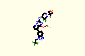 [2H]C1(N2CC[C@@H](Nc3nc(OC)c4c(-c5ccc6nnn(CC(F)(F)F)c6c5)ccn4n3)C(F)(F)C2)COC1